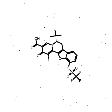 CC(C)(C)[C@@H]1Cc2c(oc3c(OS(=O)(=O)C(F)(F)F)cccc23)-c2c(F)c(=O)c(C(=O)O)cn21